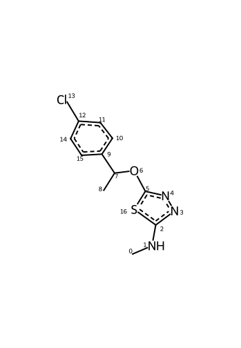 CNc1nnc(OC(C)c2ccc(Cl)cc2)s1